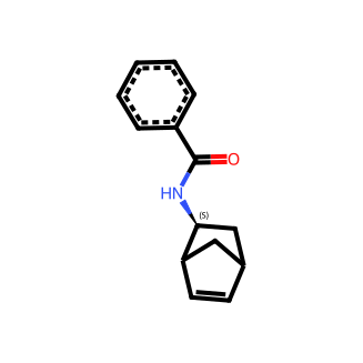 O=C(N[C@H]1CC2C=CC1C2)c1ccccc1